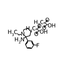 CCN1CCCCC1(N)c1cccc(F)c1.CS(=O)(=O)O.CS(=O)(=O)O